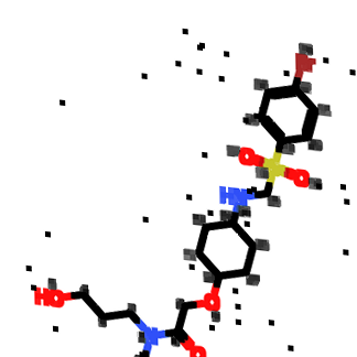 CN(CCCO)C(=O)COC1CCC(NCS(=O)(=O)c2ccc(Br)cc2)CC1